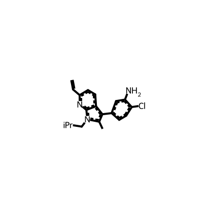 C=Cc1ccc2c(-c3ccc(Cl)c(N)c3)c(C)n(CC(C)C)c2n1